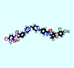 CN1C(=O)CCC(N2C(=O)c3ccc(N4CCN(CC5CCN(c6ccc(C(=O)NC7C(C)(C)C(Oc8ccc(C#N)c(Cl)c8)C7(C)C)cc6)CC5)CC4)cc3C2=O)C1=O